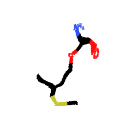 CSC(C)COC(N)=O